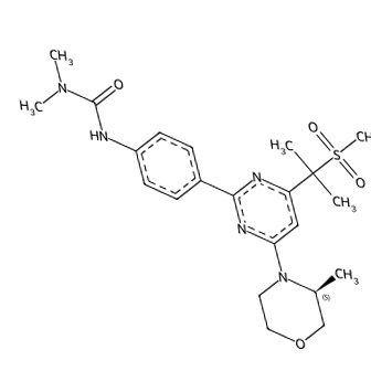 C[C@H]1COCCN1c1cc(C(C)(C)S(C)(=O)=O)nc(-c2ccc(NC(=O)N(C)C)cc2)n1